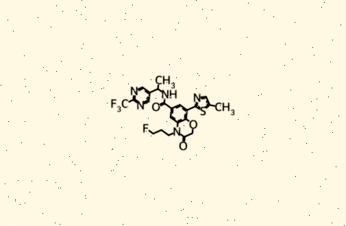 Cc1cnc(-c2cc(C(=O)NC(C)c3cnc(C(F)(F)F)nc3)cc3c2OCC(=O)N3CCCF)s1